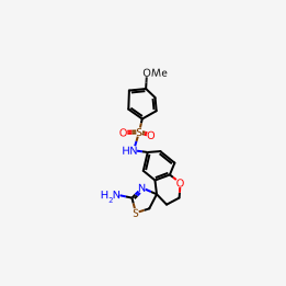 COc1ccc(S(=O)(=O)Nc2ccc3c(c2)C2(CCO3)CSC(N)=N2)cc1